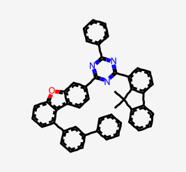 CC1(C)c2ccccc2-c2cccc(-c3nc(-c4ccccc4)nc(-c4ccc5c(c4)oc4cccc(-c6cccc(-c7ccccc7)c6)c45)n3)c21